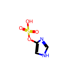 O=S(=O)(O)Oc1c[nH]cn1